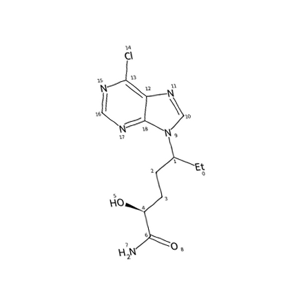 CCC(CC[C@H](O)C(N)=O)n1cnc2c(Cl)ncnc21